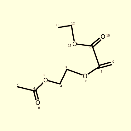 C=C(OCCOC(C)=O)C(=O)OCC